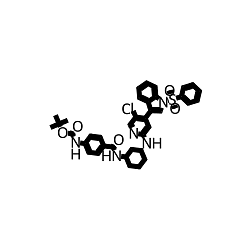 CC(C)(C)OC(=O)Nc1ccc(C(=O)NC2CCC[C@@H](Nc3cc(-c4cn(S(=O)(=O)c5ccccc5)c5ccccc45)c(Cl)cn3)C2)cc1